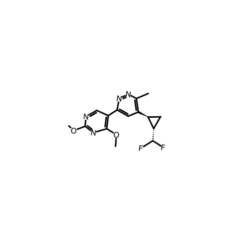 COc1ncc(-c2cc([C@H]3C[C@@H]3C(F)F)c(C)nn2)c(OC)n1